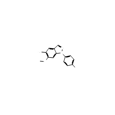 COc1cc2c(cnn2-c2ccc(F)cc2)cc1Br